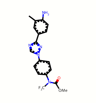 COC(=O)N(c1ccc(-n2cnc(-c3ccc(N)c(C)c3)n2)cc1)C(F)(F)F